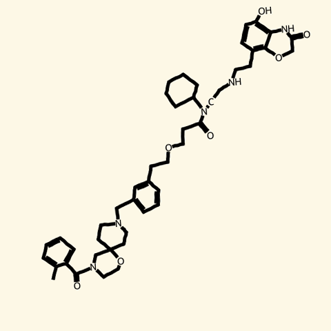 Cc1ccccc1C(=O)N1CCOC2(CCN(Cc3cccc(CCOCCC(=O)N(CCNCCc4ccc(O)c5c4OCC(=O)N5)C4CCCCC4)c3)CC2)C1